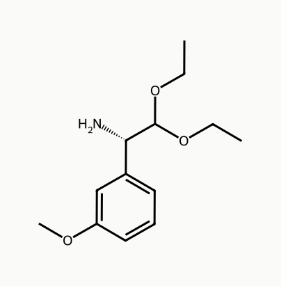 CCOC(OCC)[C@@H](N)c1cccc(OC)c1